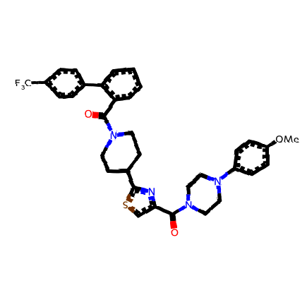 COc1ccc(N2CCN(C(=O)c3csc(C4CCN(C(=O)c5ccccc5-c5ccc(C(F)(F)F)cc5)CC4)n3)CC2)cc1